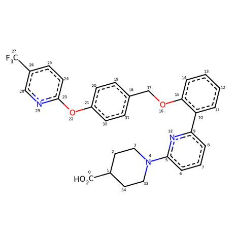 O=C(O)C1CCN(c2cccc(-c3ccccc3OCc3ccc(Oc4ccc(C(F)(F)F)cn4)cc3)n2)CC1